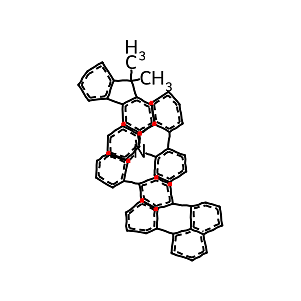 CC1(C)c2ccccc2-c2cc(N(c3ccccc3-c3ccc(-c4cccc5cccc(-c6ccccc6)c45)cc3)c3ccccc3-c3ccccc3-c3ccccc3)ccc21